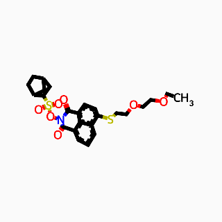 CCOCCOCCSc1ccc2c3c(cccc13)C(=O)N(OS(=O)(=O)C1CC3CCC1C3)C2=O